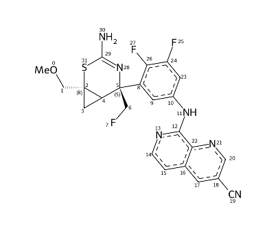 COC[C@@]12CC1[C@@](CF)(c1cc(Nc3nccc4cc(C#N)cnc34)cc(F)c1F)N=C(N)S2